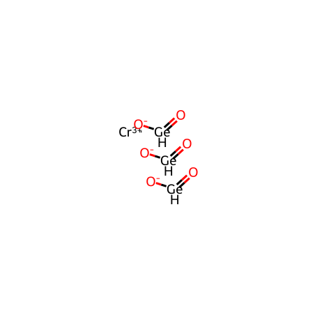 [Cr+3].[O]=[GeH][O-].[O]=[GeH][O-].[O]=[GeH][O-]